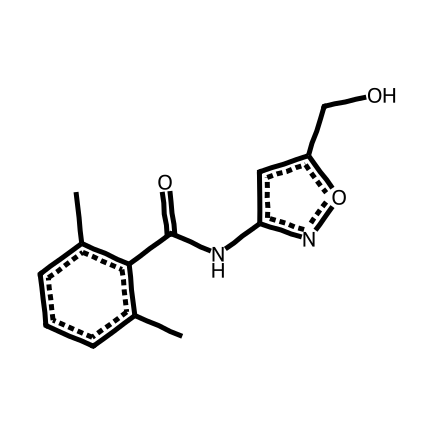 Cc1cccc(C)c1C(=O)Nc1cc(CO)on1